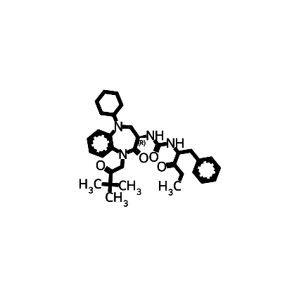 CCC(=O)C(Cc1ccccc1)NC(=O)N[C@@H]1CN(C2CCCCC2)c2ccccc2N(CC(=O)C(C)(C)C)C1=O